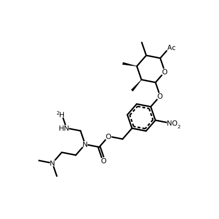 [2H]NCN(CCN(C)C)C(=O)OCc1ccc(OC2OC(C(C)=O)C(C)[C@H](C)[C@@H]2C)c([N+](=O)[O-])c1